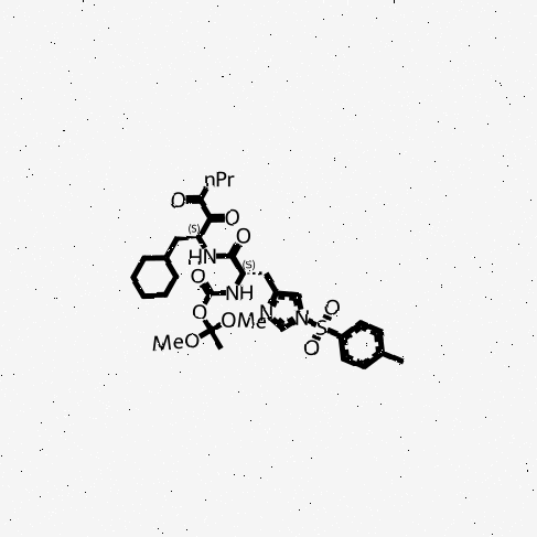 CCCC(=O)C(=O)[C@H](CC1CCCCC1)NC(=O)[C@H](Cc1cn(S(=O)(=O)c2ccc(C)cc2)cn1)NC(=O)OC(C)(OC)OC